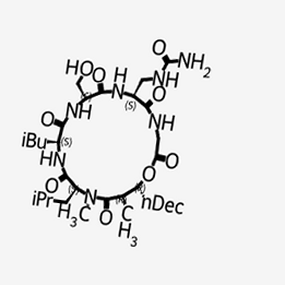 CCCCCCCCCC[C@H]1OC(=O)CNC(=O)[C@H](CNC(N)=O)NC(=O)[C@H](CO)NC(=O)[C@H](C(C)CC)NC(=O)[C@H](CC(C)C)N(C)C(=O)[C@@H]1C